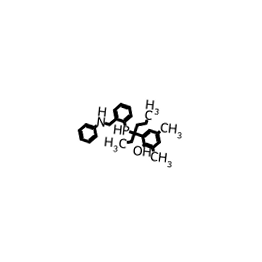 CCCC(CC)(Pc1ccccc1CNc1ccccc1)c1cc(C)cc(C)c1O